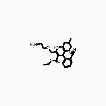 CCOC(=O)C1=C(COCCN)NC2=C(C(=O)CC(C)C2)C1c1ccccc1C#N